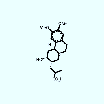 COc1cc2c(cc1OC)[C@@H]1C[C@@H](O)[C@@H](CC(C)C(=O)O)CN1CC2